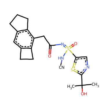 CC(C)(O)c1ncc(S(=O)(=NC(=O)Cc2c3c(cc4c2CC4)CCC3)NC#N)s1